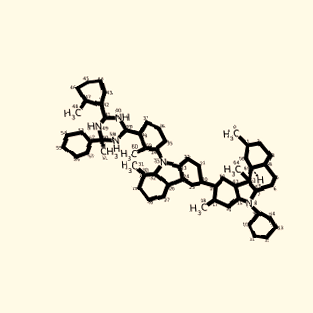 CC1CCC2CCC3N(C4CCCCC4)C4CC(C)C(C5CCC6C(C5)C5CCCC(C)C5N6C5CCCC(C6NC(C7CCCCC7C)NC(C)(C7CCCCC7)N6)C5C)CC4C3(C)[C@H]2C1